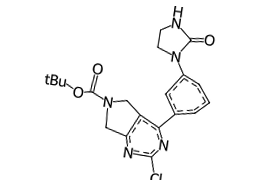 CC(C)(C)OC(=O)N1Cc2nc(Cl)nc(-c3cccc(N4CCNC4=O)c3)c2C1